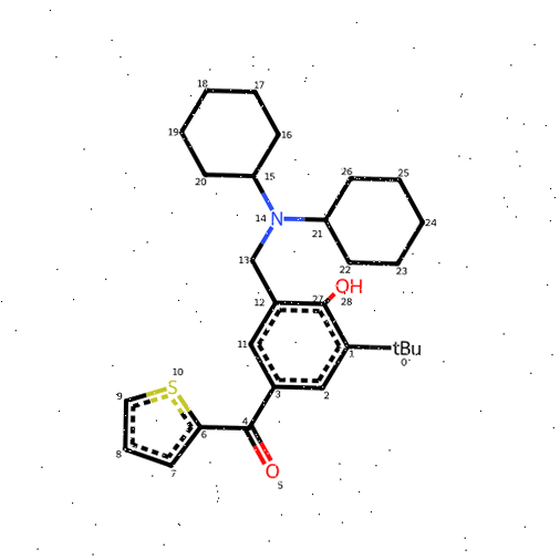 CC(C)(C)c1cc(C(=O)c2cccs2)cc(CN(C2CCCCC2)C2CCCCC2)c1O